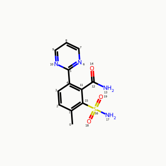 Cc1ccc(-c2ncccn2)c(C(N)=O)c1S(N)(=O)=O